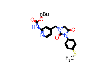 CCCCOC(=O)Nc1cc(CN2CC(=O)N(c3ccc(SC(F)(F)F)cc3)C2=O)ccn1